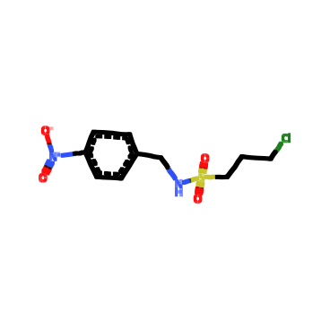 O=[N+]([O-])c1ccc(CNS(=O)(=O)CCCCl)cc1